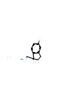 CC1(CNC(=O)O)CCc2cc(Br)ccc21